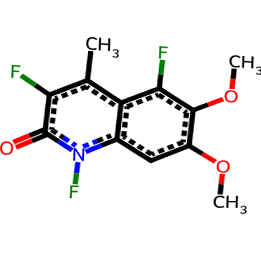 COc1cc2c(c(C)c(F)c(=O)n2F)c(F)c1OC